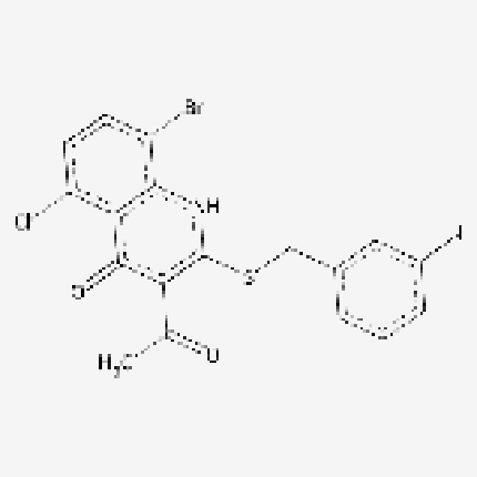 CC(=O)c1c(SCc2cccc(I)c2)[nH]c2c(Br)ccc(Cl)c2c1=O